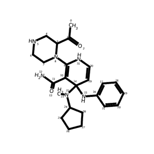 CC(=O)C1CNCCN1C1=C(C(N)=O)C(Nc2ccccc2)(N(C)C2CCCC2)C=CN1